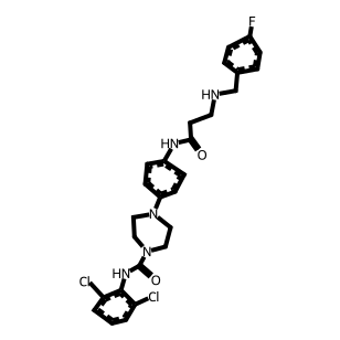 O=C(CCNCc1ccc(F)cc1)Nc1ccc(N2CCN(C(=O)Nc3c(Cl)cccc3Cl)CC2)cc1